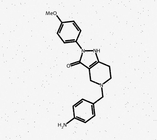 COc1ccc(-n2[nH]c3c(c2=O)CN(Cc2ccc(N)cc2)CC3)cc1